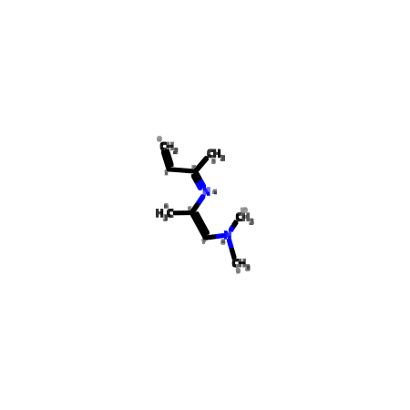 C=C/C(C)=N\C(C)=C/N(C)C